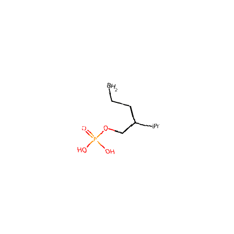 BCCC(COP(=O)(O)O)C(C)C